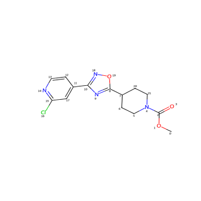 COC(=O)N1CCC(c2nc(-c3ccnc(Cl)c3)no2)CC1